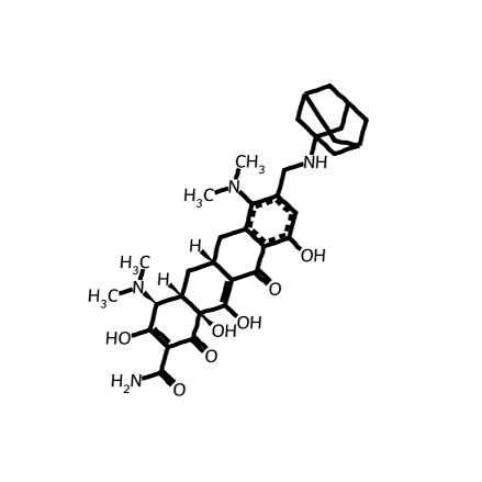 CN(C)c1c(CNC23CC4CC(CC(C4)C2)C3)cc(O)c2c1C[C@H]1C[C@H]3[C@H](N(C)C)C(O)=C(C(N)=O)C(=O)[C@@]3(O)C(O)=C1C2=O